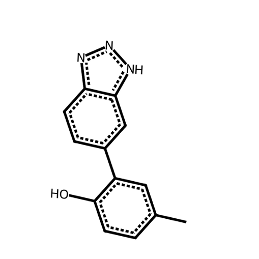 Cc1ccc(O)c(-c2ccc3nn[nH]c3c2)c1